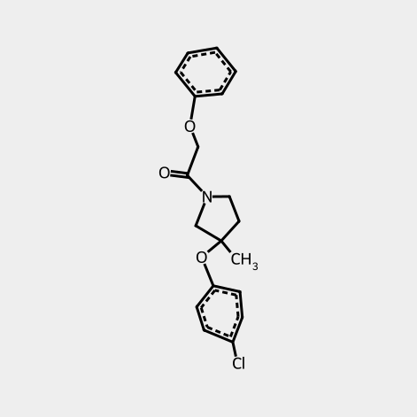 CC1(Oc2ccc(Cl)cc2)CCN(C(=O)COc2ccccc2)C1